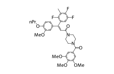 CCCOc1ccc(C(=CC(=O)N2CCN(C(=O)c3cc(OC)c(OC)c(OC)c3)CC2)c2cc(F)c(F)c(C)c2F)cc1OC